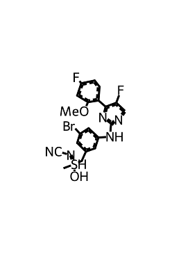 COc1cc(F)ccc1-c1nc(Nc2cc(Br)cc(C[SH](C)(O)=NC#N)c2)ncc1F